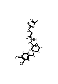 Cc1nnc(SCC(=O)NCC2CN(Cc3ccc(Cl)c(Cl)c3)CCO2)s1